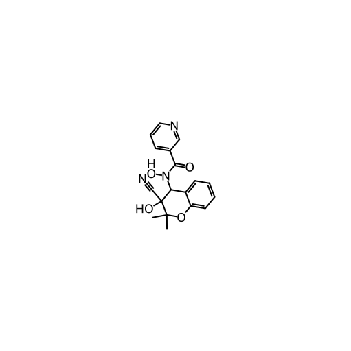 CC1(C)Oc2ccccc2C(N(O)C(=O)c2cccnc2)C1(O)C#N